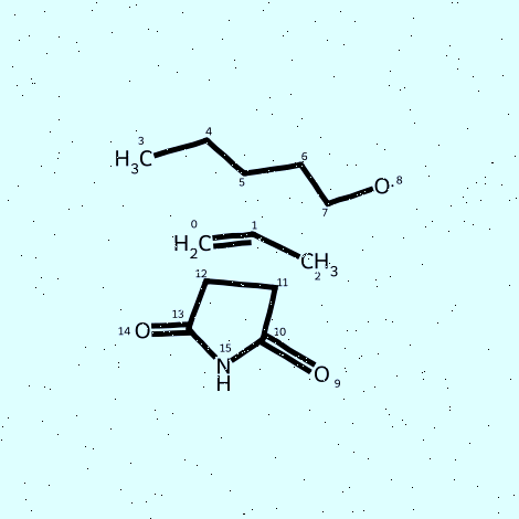 C=CC.CCCCC[O].O=C1CCC(=O)N1